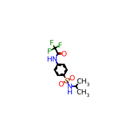 CC(C)NS(=O)(=O)c1ccc(NC(=O)C(F)(F)F)cc1